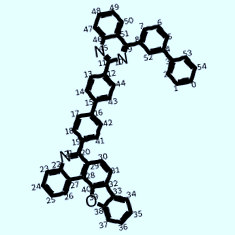 c1ccc(-c2cccc(-c3nc(-c4ccc(-c5ccc(-c6nc7ccccc7c7c6ccc6c8ccccc8oc67)cc5)cc4)nc4ccccc34)c2)cc1